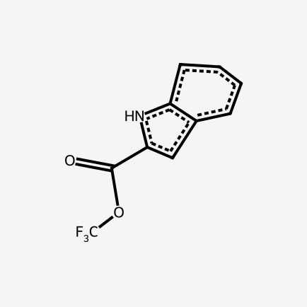 O=C(OC(F)(F)F)c1cc2ccccc2[nH]1